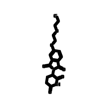 O=C1CCC(N2C(=O)c3ccc(OCCOCCCl)cc3C2=O)C(=O)N1